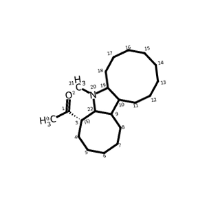 CC(=O)[C@H]1CCCCCC2C3CCCCCCCCC3N(C)C21